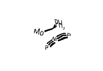 [PH2][Mo].[P]#[Ni]#[P]